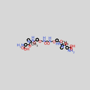 Cc1c(NC(=O)c2cccc(OCCNC(=O)CC(=O)NCCOc3cccc(C(=O)Nc4c(C)c(C(=O)c5ccc(N)c(C(=O)O)c5)n5ccccc45)c3)c2)c2ccccn2c1C(=O)c1ccc(N)c(C(=O)O)c1